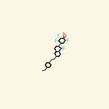 CCc1ccc(CCc2ccc3c(F)c(-c4cc(F)c(OC)c(F)c4F)ccc3c2)cc1